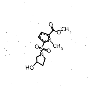 COC(=O)c1ccc(S(=O)(=O)N2CCC(O)C2)n1C